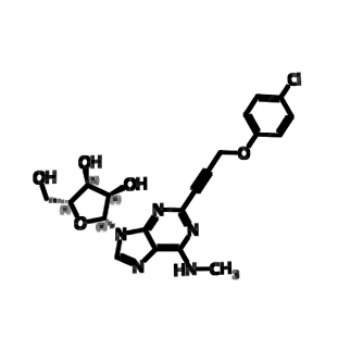 CNc1nc(C#CCOc2ccc(Cl)cc2)nc2c1ncn2[C@@H]1O[C@H](CO)[C@@H](O)[C@H]1O